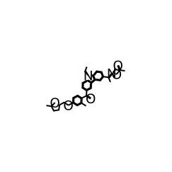 CCn1c2ccc(C(=O)c3ccc(OCC4CCC(C)O4)cc3C)cc2c2cc(/C(C)=N/OC(C)=O)ccc21